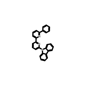 c1ccc(-c2cccc(-c3cccc(-n4c5ccccc5c5ccccc54)n3)n2)cc1